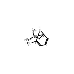 CCCN(CCC)CC12C=CC=C(C)C1O2